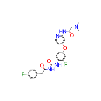 CN(C)CC(=O)Nc1cc(Oc2ccc(NC(=O)NC(=O)Cc3ccc(F)cc3)c(F)c2)ccn1